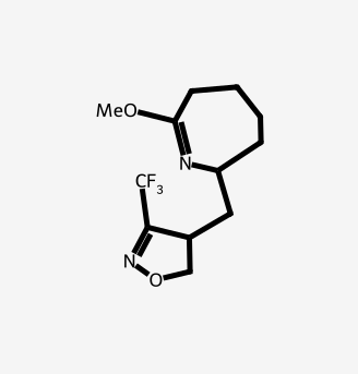 COC1=NC(CC2CON=C2C(F)(F)F)CCCC1